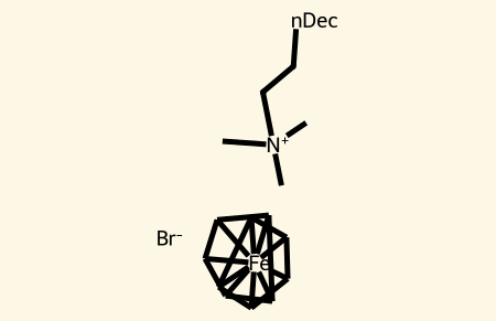 CCCCCCCCCCCC[N+](C)(C)C.[Br-].[CH]12[CH]3[CH]4[CH]5[CH]1[Fe]23451678[CH]2[CH]1[CH]6[CH]7[CH]28